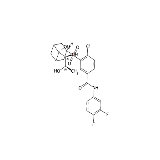 C[C@@H](O)[C@H](O)[C@]1(O)C2CC1C[C@@H](S(=O)(=O)c1cc(C(=O)Nc3ccc(F)c(F)c3)ccc1Cl)C2